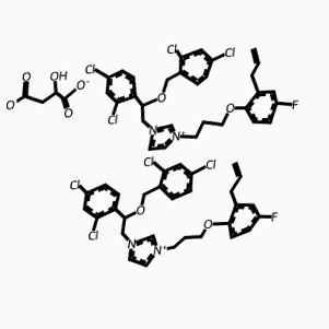 C=CCc1cc(F)ccc1OCCC[n+]1ccn(CC(OCc2ccc(Cl)cc2Cl)c2ccc(Cl)cc2Cl)c1.C=CCc1cc(F)ccc1OCCC[n+]1ccn(CC(OCc2ccc(Cl)cc2Cl)c2ccc(Cl)cc2Cl)c1.O=C([O-])CC(O)C(=O)[O-]